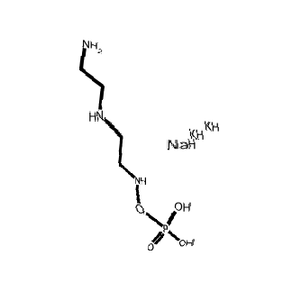 NCCNCCNOP(=O)(O)O.[KH].[KH].[NaH]